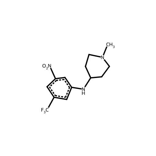 CN1CCC(Nc2cc([N+](=O)[O-])cc(C(F)(F)F)c2)CC1